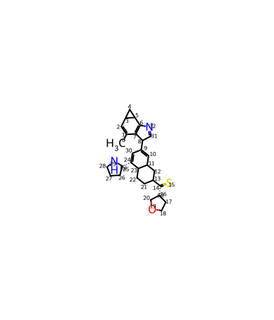 CC1=CC2CC2C2=C1C(C1=CC3CC(C(=S)[C@@H]4CCOC4)CCC3C([C@@H]3CCCN3)=C1)C=N2